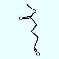 COC(=O)CSCC=O